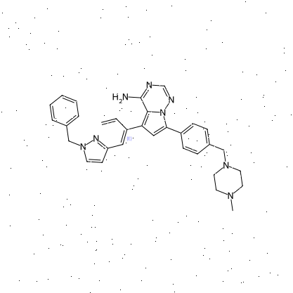 C=C/C(=C\c1ccn(Cc2ccccc2)n1)c1cc(-c2ccc(CN3CCN(C)CC3)cc2)n2ncnc(N)c12